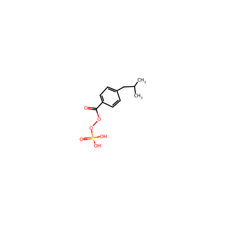 CC(C)Cc1ccc(C(=O)OOP(=O)(O)O)cc1